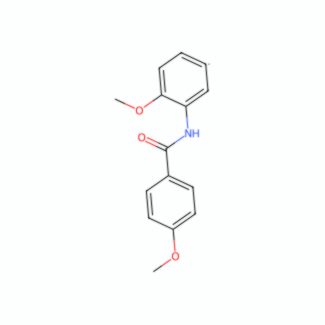 COc1ccc(C(=O)Nc2c[c]ccc2OC)cc1